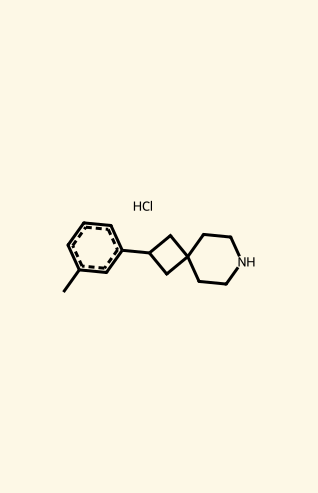 Cc1cccc(C2CC3(CCNCC3)C2)c1.Cl